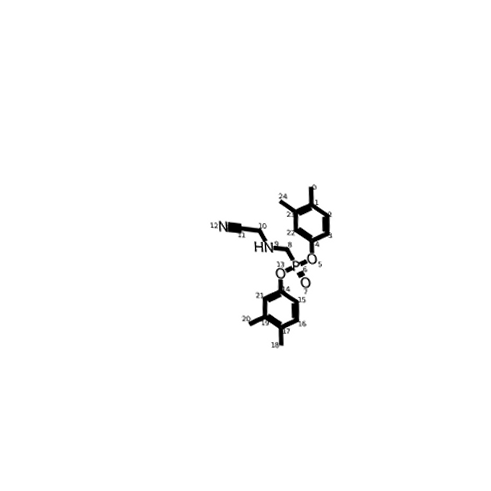 Cc1ccc(OP(=O)(CNCC#N)Oc2ccc(C)c(C)c2)cc1C